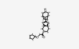 O=C(COC1CCCC1)N1CCc2nc(N3C4CCC3CNC4)sc2C1